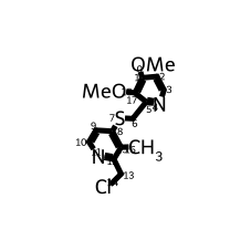 COc1ccnc(CSc2ccnc(CCl)c2C)c1OC